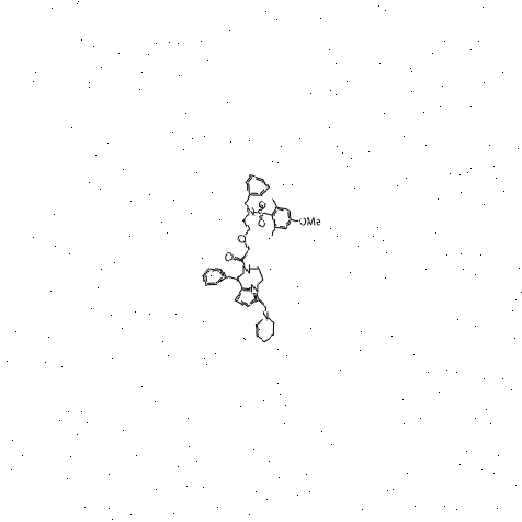 COc1cc(C)c(S(=O)(=O)N(CCOCC(=O)N2CCn3c(CN4CCCCC4)ccc3C2c2ccccc2)Cc2ccccc2)c(C)c1